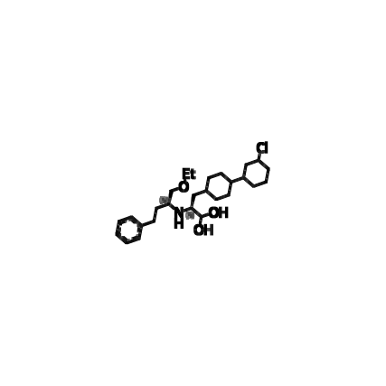 CCOC[C@H](CCc1ccccc1)N[C@@H](CC1CCC(C2CCCC(Cl)C2)CC1)C(O)O